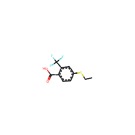 CCSc1ccc(C(=O)O)c(C(F)(F)F)c1